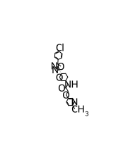 Cc1ccc(OCC(=O)N[C@H]2CC[C@@H](c3nnc(-c4ccc(Cl)cc4)o3)OC2)cn1